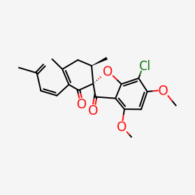 C=C(C)/C=C\C1=C(C)C[C@@H](C)[C@]2(Oc3c(Cl)c(OC)cc(OC)c3C2=O)C1=O